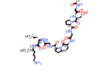 CC(C)C[C@H](NC(=O)CNC(=O)[C@@H]1CCCN1C(=O)[C@H](CO)NC(=O)CNC(=O)[C@@H]1CCCN1)C(=O)N1CCC[C@H]1C(=O)NCC(=O)N[C@@H](CCC(=O)O)C(=O)N[C@@H](CCCCN)C(=O)O